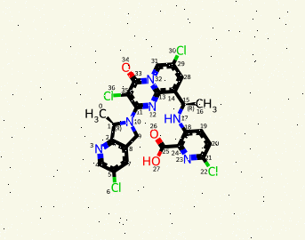 C[C@@H]1c2ncc(Cl)cc2CN1c1nc2c([C@@H](C)Nc3ccc(Cl)nc3C(=O)O)cc(Cl)cn2c(=O)c1Cl